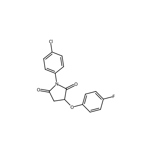 O=C1CC(Oc2ccc(F)cc2)C(=O)N1c1ccc(Cl)cc1